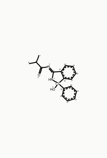 CC(C)C(=O)N=C1NS(O)(c2ccccc2)c2ccccc21